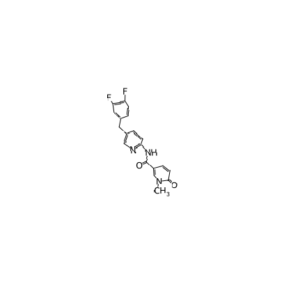 Cn1cc(C(=O)Nc2ccc(Cc3ccc(F)c(F)c3)cn2)ccc1=O